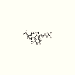 Cc1c(-c2noc(C3CC3)c2C(=O)O)c2c(Cl)ncnc2n1COCC[Si](C)(C)C